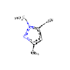 CC(C)(C)c1cc(C(C)(C)C)n(C(=O)O)n1